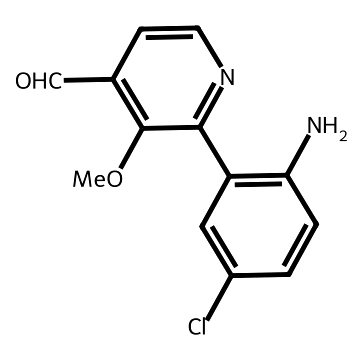 COc1c(C=O)ccnc1-c1cc(Cl)ccc1N